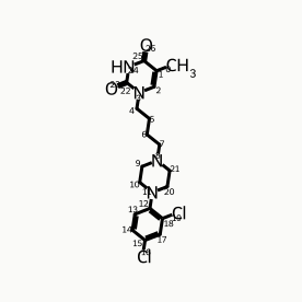 Cc1cn(CCCCN2CCN(c3ccc(Cl)cc3Cl)CC2)c(=O)[nH]c1=O